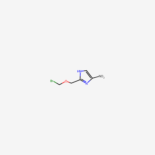 O=[N+]([O-])c1c[nH]c(COCBr)n1